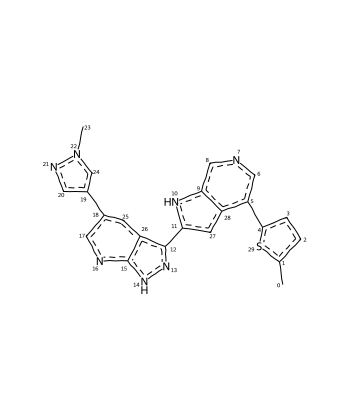 Cc1ccc(-c2cncc3[nH]c(-c4n[nH]c5ncc(-c6cnn(C)c6)cc45)cc23)s1